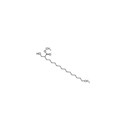 CCCCCCCCCCCCCCCCC(CO)C(=O)OC